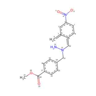 C=c1cc([N+](=O)[O-])cc/c1=C/N(N)Cc1ccc(C(=O)OC)cc1